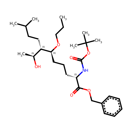 CCCO[C@@H](CCC[C@H](NC(=O)OC(C)(C)C)C(=O)OCc1ccccc1)[C@@H](CCC(C)C)[C@H](C)O